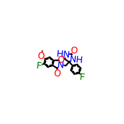 COc1cc2c(cc1F)C(=O)N(CC1(c3ccc(F)cc3)NC(=O)NC1=O)C2